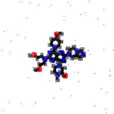 COCCN(CCOC)c1nc(N2CCC(OC)CC2)c2nc(N3CCn4cncc4C3)nc(N3CCN(C)C(=O)C3)c2n1